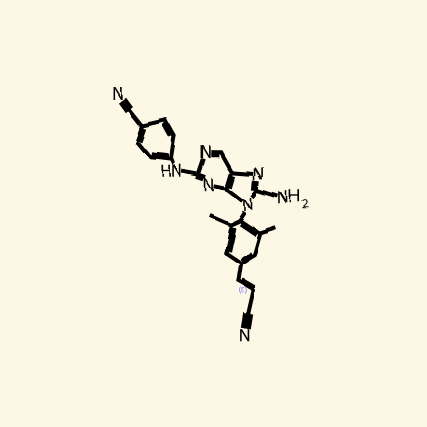 Cc1cc(/C=C/C#N)cc(C)c1-n1c(N)nc2cnc(Nc3ccc(C#N)cc3)nc21